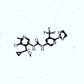 CO[C@@H](c1c(NC(=O)Nc2cnc(-n3nccn3)c(C(F)(F)F)c2)cnc(C)c1Cl)C1CC1